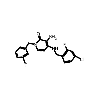 Bc1c(NCc2ccc(Cl)cc2F)ccn(Cc2cccc(F)c2)c1=O